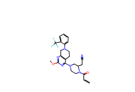 C=CC(=O)N1CCN(c2nc(OC)nc3c2CCN(c2ccccc2C(F)(F)F)C3)CC1CC#N